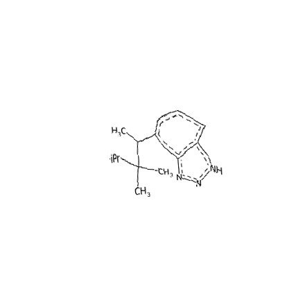 C[C](C)C(C)(C)C(C)c1cccc2[nH]nnc12